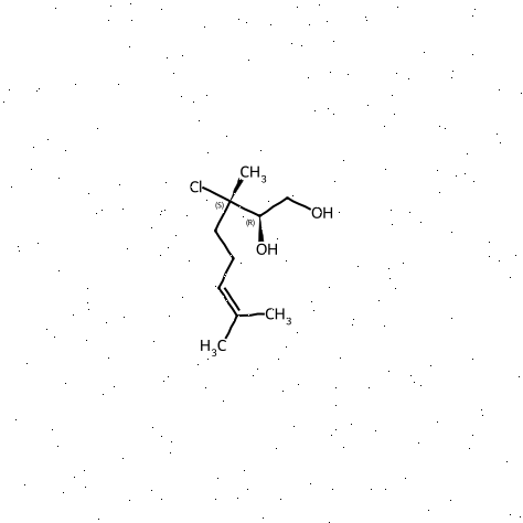 CC(C)=CCC[C@](C)(Cl)[C@H](O)CO